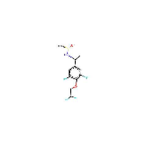 CC(N[S@+]([O-])C(C)(C)C)c1cc(F)c(OCC(F)F)c(F)c1